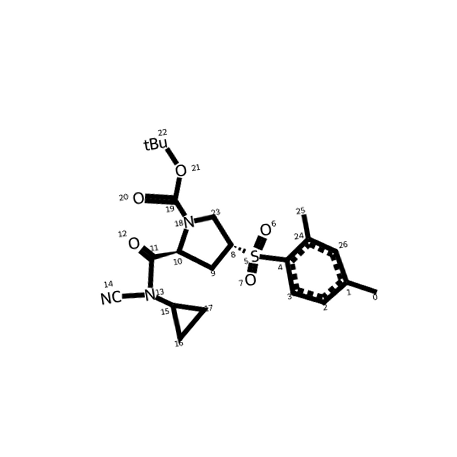 Cc1ccc(S(=O)(=O)[C@@H]2C[C@@H](C(=O)N(C#N)C3CC3)N(C(=O)OC(C)(C)C)C2)c(C)c1